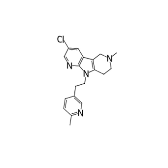 Cc1ccc(CCn2c3c(c4cc(Cl)cnc42)CN(C)CC3)cn1